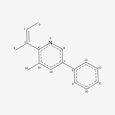 C/C=C(/C)c1ncc(-c2ccccc2)cc1C